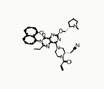 C=CC(=O)N1CCN(c2nc(OC[C@@H]3CCCN3C)nc3c(=O)n(-c4cccc5cccc(Cl)c45)c(CC)nc23)C[C@@H]1CC#N